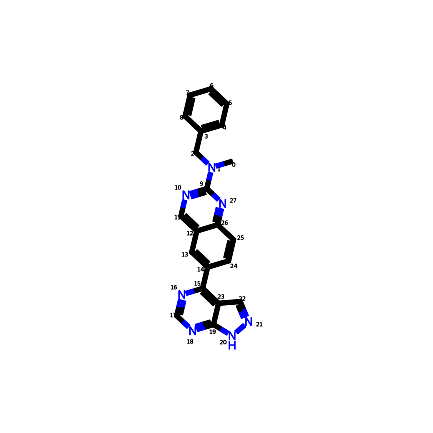 CN(Cc1ccccc1)c1ncc2cc(-c3ncnc4[nH]ncc34)ccc2n1